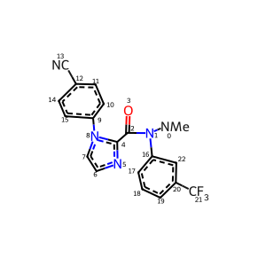 CNN(C(=O)c1nccn1-c1ccc(C#N)cc1)c1cccc(C(F)(F)F)c1